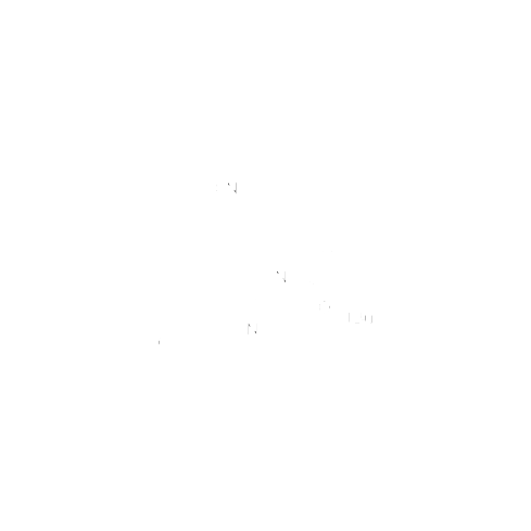 CC(C)(C)OC(=O)n1cc(CC#N)c2cc(Cl)cnc21